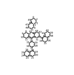 c1ccc2cc(-c3c4ccccc4c(-c4ccc(-c5cccc6ccccc56)cc4)c4cc(-c5cccc6ccccc56)ccc34)ccc2c1